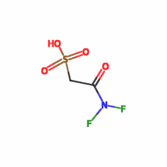 O=C(CS(=O)(=O)O)N(F)F